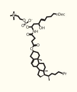 CCCCCCCCCCCCCC=CC(O)CC(NC(=O)CCC(=O)OC1CC[C@@]2(C)C(=CCC3C2CC[C@@]2(C)C3CC[C@@H]2[C@H](C)CCCC(C)C)C1)OP(=O)([O-])OCC[N+](C)(C)C